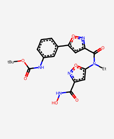 CCN(C(=O)c1cc(-c2cccc(NC(=O)OC(C)(C)C)c2)on1)c1cc(C(=O)NO)no1